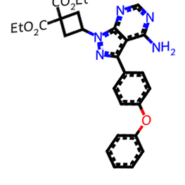 CCOC(=O)C1(C(=O)OCC)CC(n2nc(-c3ccc(Oc4ccccc4)cc3)c3c(N)ncnc32)C1